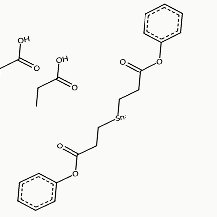 CCC(=O)O.CCC(=O)O.O=C(C[CH2][Sn][CH2]CC(=O)Oc1ccccc1)Oc1ccccc1